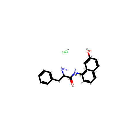 Cl.N[C@H](Cc1ccccc1)C(=O)Nc1cccc2ccc(O)cc12